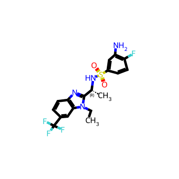 CCn1c([C@@H](C)NS(=O)(=O)c2ccc(F)c(N)c2)nc2ccc(C(F)(F)F)cc21